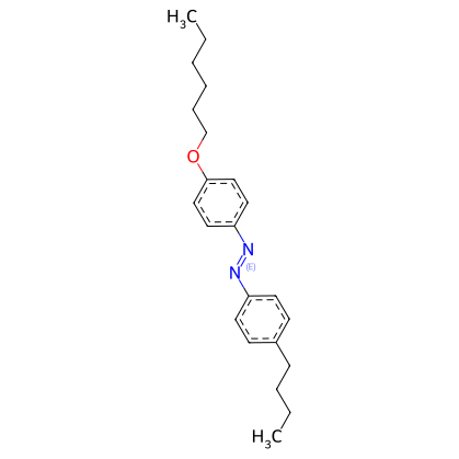 CCCCCCOc1ccc(/N=N/c2ccc(CCCC)cc2)cc1